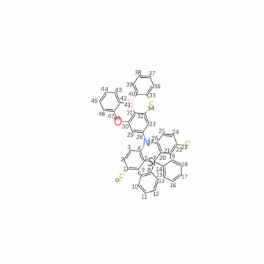 Fc1ccc2c(c1)[Si](c1ccccc1)(c1ccccc1)c1cc(F)ccc1N2c1cc2c3c(c1)Sc1ccccc1B3c1ccccc1O2